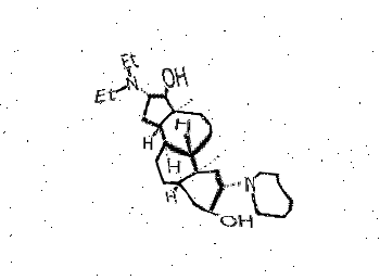 CCN(CC)[C@H]1C[C@H]2[C@@H]3CC[C@H]4C[C@H](O)[C@@H](N5CCCCC5)C[C@]4(C)[C@H]3CC[C@]2(C)[C@@H]1O